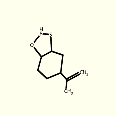 C=C(C)C1CCC2OPSC2C1